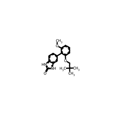 COc1cccc(OCC(C)(C)C)c1-c1ccc2[nH]c(=O)[nH]c2c1